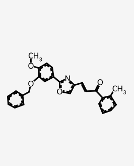 COc1ccc(-c2nc(/C=C/C(=O)c3ccccc3C)co2)cc1OCc1ccccc1